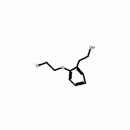 OCCc1ccccc1OCCCl